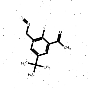 CC(C)(C)c1cc(CN=O)c(F)c(C(N)=O)c1